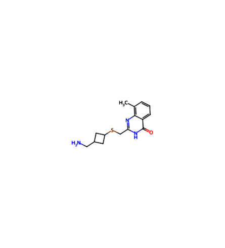 Cc1cccc2c(=O)[nH]c(CSC3CC(CN)C3)nc12